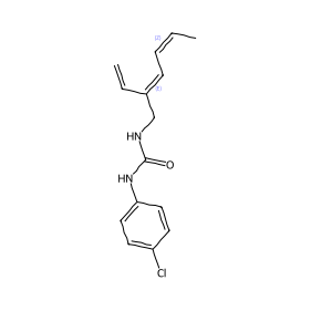 C=C/C(=C\C=C/C)CNC(=O)Nc1ccc(Cl)cc1